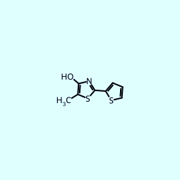 Cc1sc(-c2cccs2)nc1O